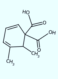 CC1=CC=CC(C(=O)O)(C(=O)O)C1C